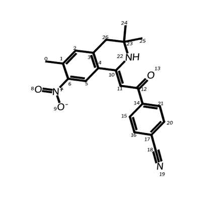 Cc1cc2c(cc1[N+](=O)[O-])C(=CC(=O)c1ccc(C#N)cc1)NC(C)(C)C2